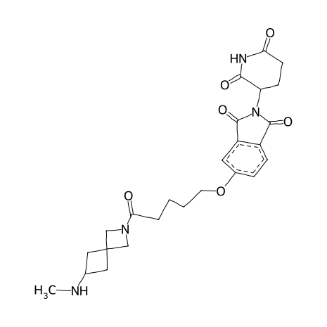 CNC1CC2(C1)CN(C(=O)CCCCOc1ccc3c(c1)C(=O)N(C1CCC(=O)NC1=O)C3=O)C2